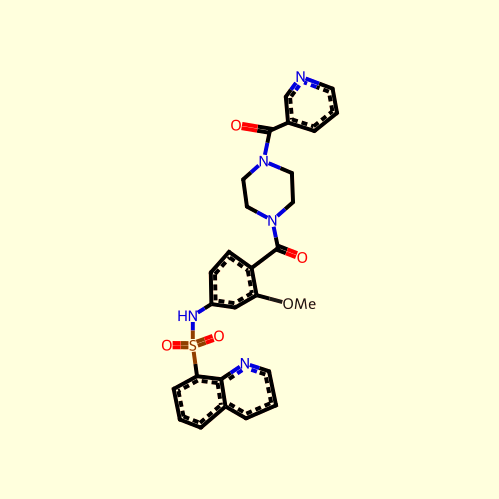 COc1cc(NS(=O)(=O)c2cccc3cccnc23)ccc1C(=O)N1CCN(C(=O)c2cccnc2)CC1